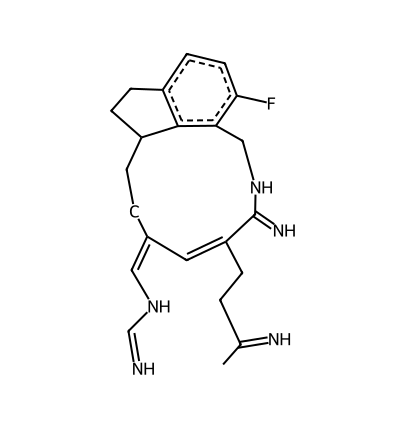 CC(=N)CC/C1=C/C(=C\NC=N)CCC2CCc3ccc(F)c(c32)CNC1=N